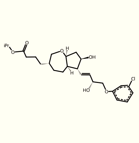 CC(C)OC(=O)CCC[C@H]1CC[C@@H]2[C@@H](C=C[C@@H](O)COc3cccc(Cl)c3)[C@H](O)C[C@@H]2OC1